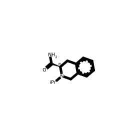 CC(C)N1Cc2ccccc2C[C@@H]1C(N)=O